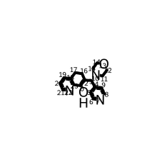 OC1=C(C(c2ccncc2)N2CCOCC2)CCc2cccnc21